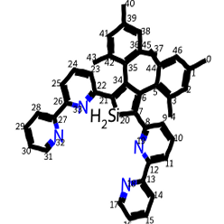 Cc1cc(C)c(C2=C(c3cccc(-c4ccccn4)n3)[SiH2]C(c3cccc(-c4ccccn4)n3)=C2c2c(C)cc(C)cc2C)c(C)c1